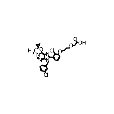 CC1(Oc2ncnc3c2nc(-c2cccc(OCCCOCC(=O)O)c2Cl)n3Cc2cccc(Cl)c2)CC1